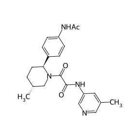 CC(=O)Nc1ccc([C@@H]2CC[C@@H](C)CN2C(=O)C(=O)Nc2cncc(C)c2)cc1